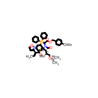 CC=C(C(=O)S[C@@H]1[C@@H]([C@@H](CO[SiH](C)C)C(C)(C)C)C(=O)N1C(C(=O)OCc1ccc(OC)cc1)=P(c1ccccc1)(c1ccccc1)c1ccccc1)c1ccon1